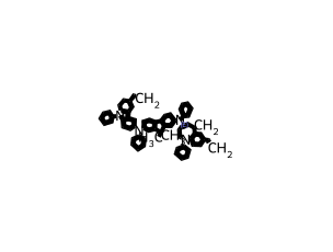 C=CC1=Cc2c(n(-c3ccccc3)c3ccc(N(c4ccccc4)c4ccc5c(c4)C(C)(C)c4cc(N(/C6=C/C(=C)c7cc(C=C)ccc7N(c7ccccc7)CC6)c6ccccc6)ccc4-5)cc23)CC1